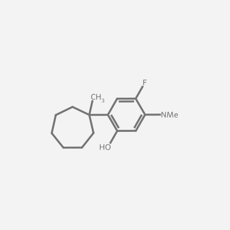 CNc1cc(O)c(C2(C)CCCCCC2)cc1F